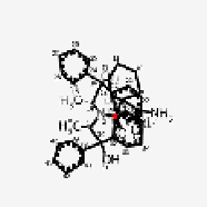 C[C@@H](N(C(=O)C1(C(N)=O)CCCCC1)[C@H](C)C(O)(c1ccccc1)c1ccccc1)C(O)(c1ccccc1)c1ccccc1